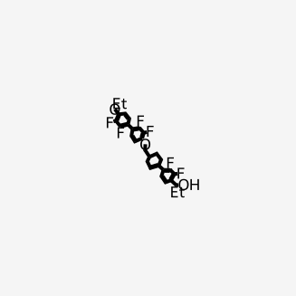 CCOc1ccc(-c2ccc(OCC3CC=C(c4ccc(C(O)CC)c(F)c4F)CC3)c(F)c2F)c(F)c1F